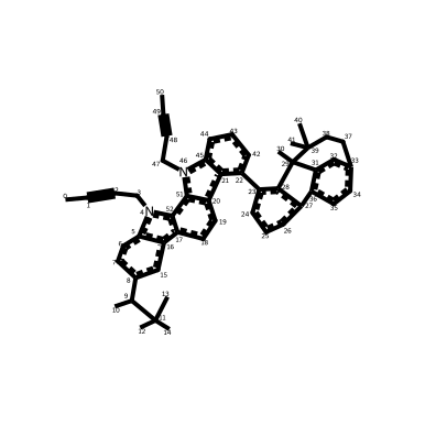 CC#CCn1c2ccc(C(C)C(C)(C)C)cc2c2ccc3c4c(-c5cccc6c5C5(C)c7cc(ccc7-6)CCC5(C)C)cccc4n(CC#CC)c3c21